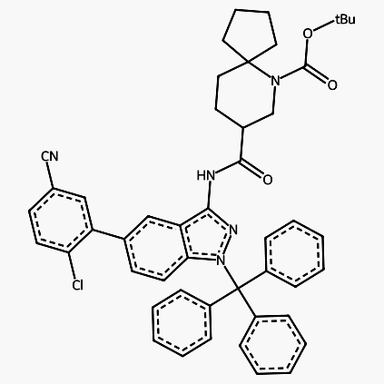 CC(C)(C)OC(=O)N1CC(C(=O)Nc2nn(C(c3ccccc3)(c3ccccc3)c3ccccc3)c3ccc(-c4cc(C#N)ccc4Cl)cc23)CCC12CCCC2